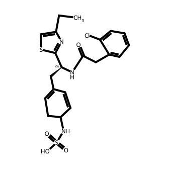 CCc1csc([C@H](CC2=CCC(NS(=O)(=O)O)C=C2)NC(=O)Cc2ccccc2Cl)n1